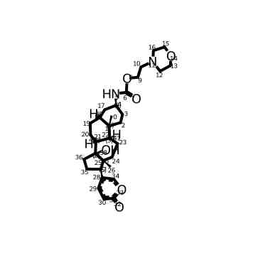 C[C@]12CC[C@H](NC(=O)OCCN3CCOCC3)C[C@H]1CC[C@@H]1[C@@H]2CC[C@]2(C)[C@@H](c3ccc(=O)oc3)CC[C@]12O